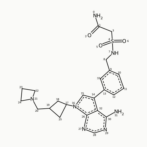 NC(=O)CS(=O)(=O)NCc1cccc(-c2cn(C3CC(CN4CCC4)C3)c3ncnc(N)c23)c1